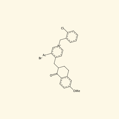 COc1ccc2c(c1)CCC(Cc1cc[n+](Cc3ccccc3Cl)cc1C(C)=O)C2=O.[Br-]